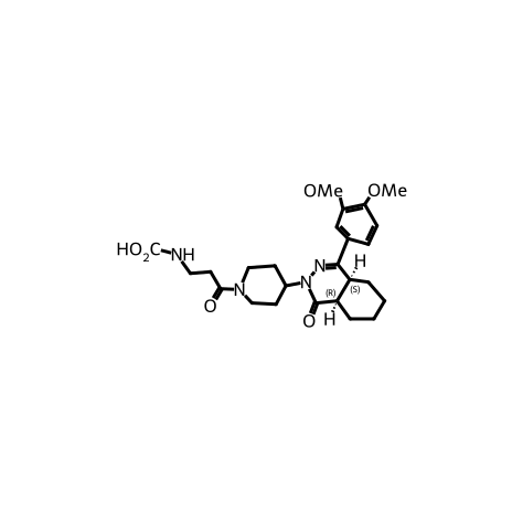 COc1ccc(C2=NN(C3CCN(C(=O)CCNC(=O)O)CC3)C(=O)[C@@H]3CCCC[C@H]23)cc1OC